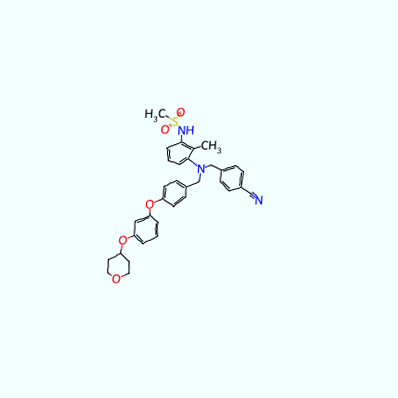 Cc1c(NS(C)(=O)=O)cccc1N(Cc1ccc(C#N)cc1)Cc1ccc(Oc2cccc(OC3CCOCC3)c2)cc1